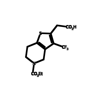 CCOC(=O)N1CCc2sc(CC(=O)O)c(C(F)(F)F)c2C1